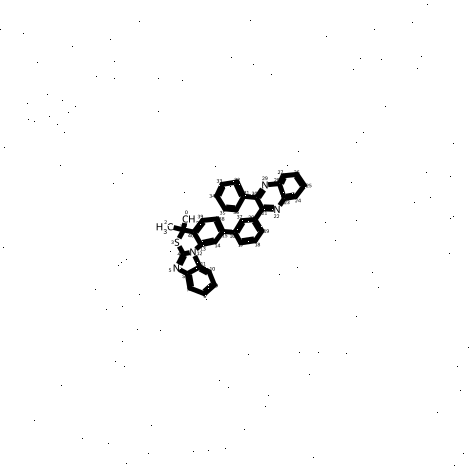 CC1(C)Sc2nc3ccccc3n2-c2cc(-c3cccc(-c4nc5ccccc5nc4-c4ccccc4)c3)ccc21